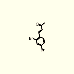 CC(=O)C=Cc1ccc(Br)cc1Br